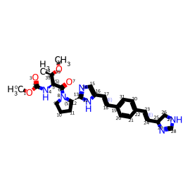 COC(=O)N[C@H](C(=O)N1CCC[C@H]1c1ncc(/C=C/c2ccc(/C=C/C3CNC=N3)cc2)[nH]1)[C@@H](C)OC